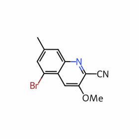 COc1cc2c(Br)cc(C)cc2nc1C#N